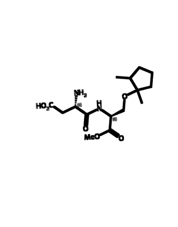 COC(=O)[C@H](COC1(C)CCCC1C)NC(=O)[C@@H](N)CC(=O)O